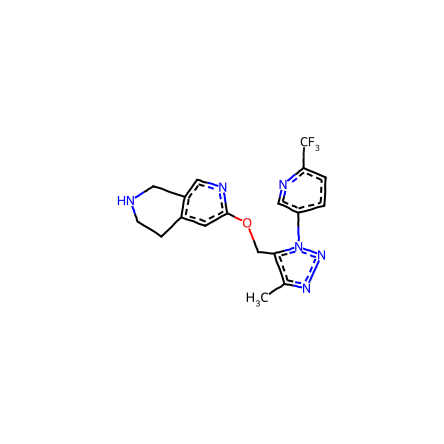 Cc1nnn(-c2ccc(C(F)(F)F)nc2)c1COc1cc2c(cn1)CNCC2